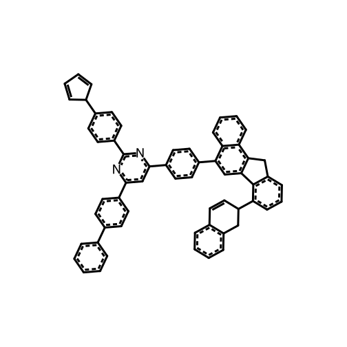 C1=CC(c2ccc(-c3nc(-c4ccc(-c5ccccc5)cc4)cc(-c4ccc(-c5cc6c(c7ccccc57)Cc5cccc(C7C=Cc8ccccc8C7)c5-6)cc4)n3)cc2)C=C1